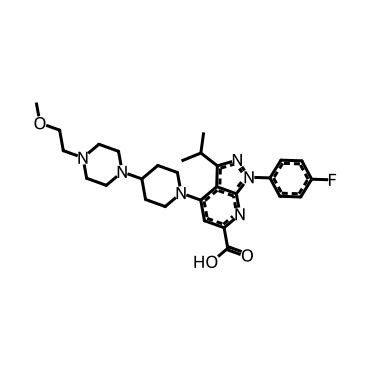 COCCN1CCN(C2CCN(c3cc(C(=O)O)nc4c3c(C(C)C)nn4-c3ccc(F)cc3)CC2)CC1